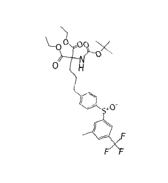 CCOC(=O)C(CCCc1ccc([S+]([O-])c2cc(C)cc(C(F)(F)F)c2)cc1)(NC(=O)OC(C)(C)C)C(=O)OCC